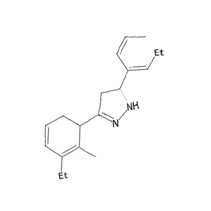 C/C=C\C(=C/CC)C1CC(C2CC=CC(CC)=C2C)=NN1